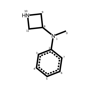 CN(c1ccccc1)C1CNC1